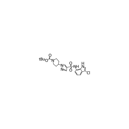 CC(C)(C)OC(=O)N1CCC(n2cc(S(=O)(=O)Nc3cccc4c(Cl)c[nH]c34)cn2)CC1